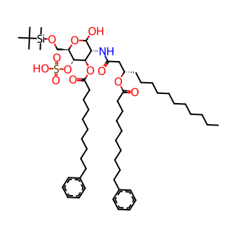 CCCCCCCCCCC[C@@H](CC(=O)N[C@H]1C(O)O[C@H](CO[Si](C)(C)C(C)(C)C)[C@@H](OS(=O)(=O)O)[C@@H]1OC(=O)CCCCCCCCCc1ccccc1)OC(=O)CCCCCCCCCc1ccccc1